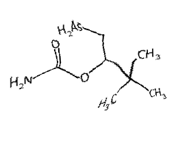 CC(C)(C)C(C[AsH2])OC(N)=O